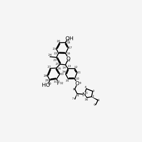 CC[C@@H]1CCN([C@@H](C)COc2ccc(C3Oc4cc(O)ccc4C(C)=C3c3ccc(O)c(F)c3)cc2)C1